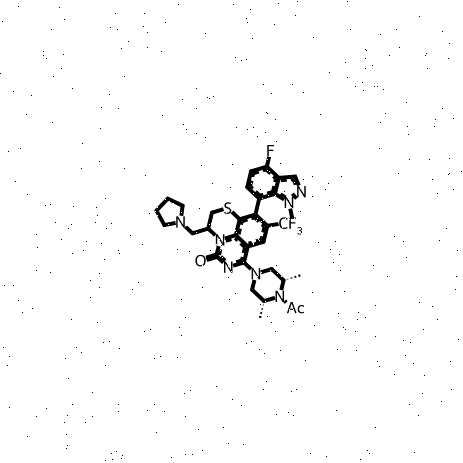 CC(=O)N1[C@H](C)CN(c2nc(=O)n3c4c(c(-c5ccc(F)c6cnn(C)c56)c(C(F)(F)F)cc24)SCC3CN2CCCC2)C[C@@H]1C